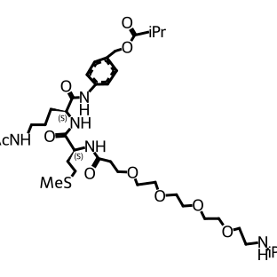 CSCC[C@H](NC(=O)CCOCCOCCOCCOCCNC(C)C)C(=O)N[C@@H](CCCNC(C)=O)C(=O)Nc1ccc(COC(=O)C(C)C)cc1